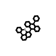 c1ccc(-c2c3ccccc3c(-c3ccc4cccc5c4c3Sc3ccccc3-5)c3ccccc23)cc1